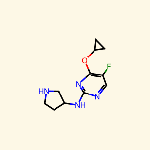 Fc1cnc(NC2CCNC2)nc1OC1CC1